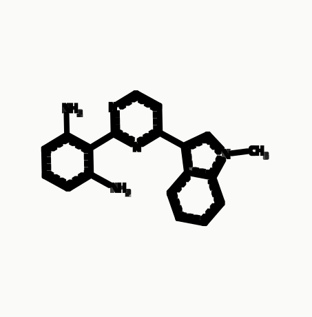 Cn1cc(-c2ccnc(-c3c(N)cccc3N)n2)c2ccccc21